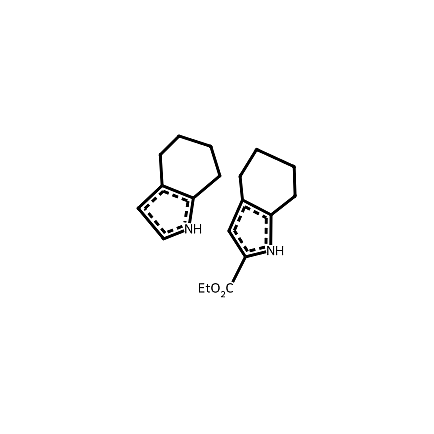 CCOC(=O)c1cc2c([nH]1)CCCC2.c1cc2c([nH]1)CCCC2